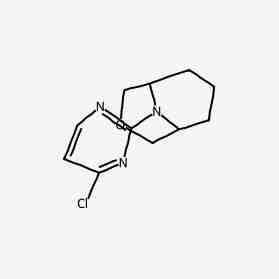 Clc1ccnc(N2C3CCCC2COC3)n1